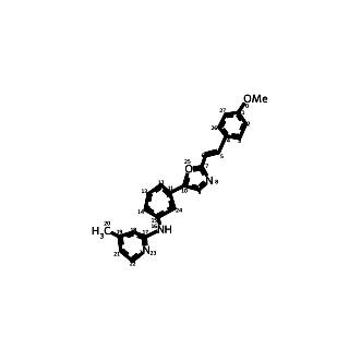 COc1ccc(C=Cc2ncc(-c3cccc(Nc4cc(C)ccn4)c3)o2)cc1